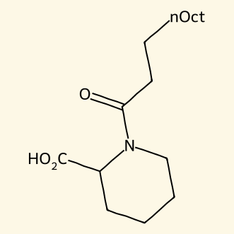 CCCCCCCCCCC(=O)N1CCCCC1C(=O)O